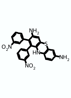 Nc1ccc2c(c1)Sc1cc(N)c(-c3cccc([N+](=O)[O-])c3)c(-c3cccc([N+](=O)[O-])c3)c1N2